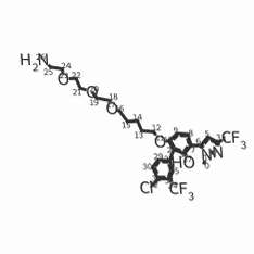 Cn1nc(C(F)(F)F)cc1-c1ccc(OCCCCCOCCOCCOCCN)c(-c2ccc(Cl)c(C(F)(F)F)c2)c1O